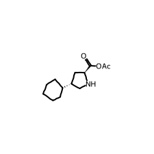 CC(=O)OC(=O)[C@@H]1C[C@@H](C2CCCCC2)CN1